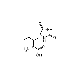 CCC(C)[C@@H](N)C(=O)O.O=C1CNC(=O)N1